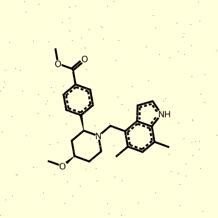 COC(=O)c1ccc([C@@H]2C[C@H](OC)CCN2Cc2c(C)cc(C)c3[nH]ccc23)cc1